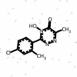 Cc1cc(Cl)ccc1-c1nnc(C)c(=O)n1O